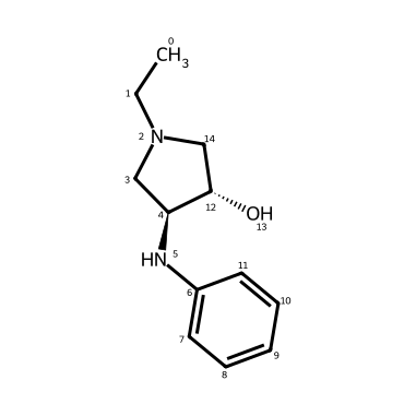 CCN1C[C@H](Nc2ccccc2)[C@@H](O)C1